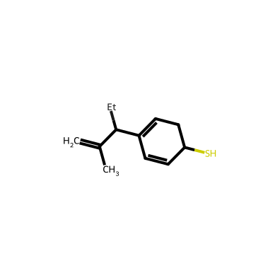 C=C(C)C(CC)C1=CCC(S)C=C1